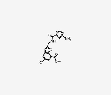 COC(=O)c1cc(Cl)cc2cc(CNC(=O)c3cc(N)ccn3)oc12